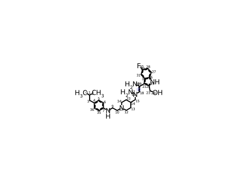 CC(C)Cc1ccc(NCCN2CCC(CN(N)/C=C(\N)c3c(CO)[nH]c4ccc(F)cc34)CC2)cc1